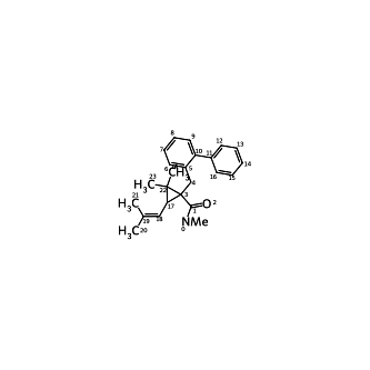 CNC(=O)C1(Cc2ccccc2-c2ccccc2)C(C=C(C)C)C1(C)C